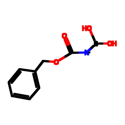 O=C([N]B(O)O)OCc1ccccc1